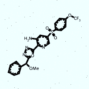 COC(c1ccccc1)c1nnc(-c2ncc(S(=O)(=O)c3ccc(OC(F)(F)F)cc3)cc2N)o1